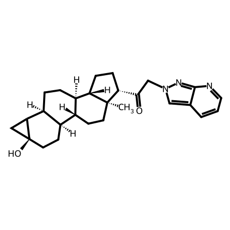 C[C@]12CC[C@@H]3[C@H]4CC[C@]5(O)CC5[C@H]4CC[C@H]3[C@@H]1CC[C@@H]2C(=O)Cn1cc2cccnc2n1